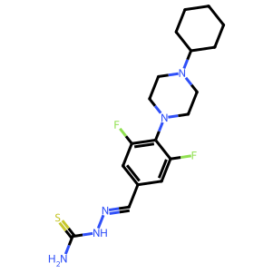 NC(=S)NN=Cc1cc(F)c(N2CCN(C3CCCCC3)CC2)c(F)c1